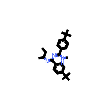 CCC(C)/N=C(\N=C(/NC)c1ccc(C(C)(C)C)cc1)c1ccc(C(C)(C)C)cc1